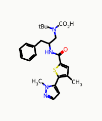 Cc1cc(C(=O)NC(Cc2ccccc2)CN(C(=O)O)C(C)(C)C)sc1-c1ccnn1C